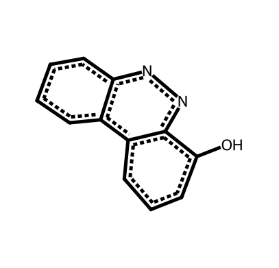 Oc1cccc2c1nnc1ccccc12